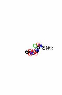 COCCN(C)C(=O)c1ccc(N2CCC(OC3CCN(C(=O)[C@H](O)c4ccccc4)CC3)CC2)cc1Cl